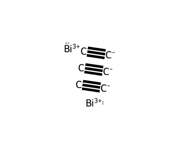 [Bi+3].[Bi+3].[C-]#[C-].[C-]#[C-].[C-]#[C-]